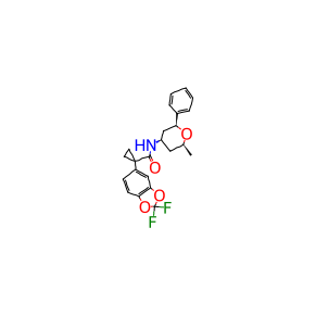 C[C@H]1C[C@@H](NC(=O)C2(c3ccc4c(c3)OC(F)(F)O4)CC2)C[C@@H](c2ccccc2)O1